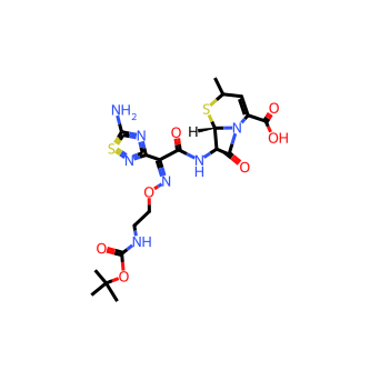 CC1C=C(C(=O)O)N2C(=O)C(NC(=O)C(=NOCCNC(=O)OC(C)(C)C)c3nsc(N)n3)[C@@H]2S1